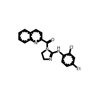 CCc1ccc(NC2=NCCN2C(=O)c2ccc3ccccc3n2)c(Cl)c1